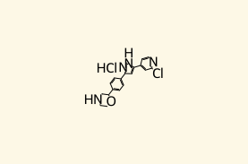 Cl.Clc1cc(-c2cc(-c3ccc(C4CNCCO4)cc3)n[nH]2)ccn1